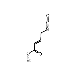 CCOC(=O)C=CCN=C=O